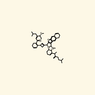 C=C(CCC(C)C)C(C)C1=CCCC2C1N(C)C1c3c(sc4cc5c(cc34)CCC=C5)C(C3=CC(C4=C(C5=NCC(SC)C(CC(C)C)=C5)CCC=C4)C3)N21